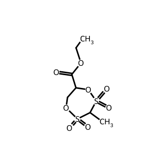 CCOC(=O)C1COS(=O)(=O)C(C)S(=O)(=O)O1